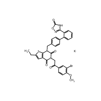 CCc1cc2c(=O)n(CC(=O)c3ccc(OC)c(Br)c3)c(=O)n(Cc3ccc(-c4ccccc4-c4noc(=O)[nH]4)cc3)c2s1.[K]